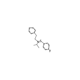 CC(C)N(CCc1ccccc1)Sc1ccc(F)cc1